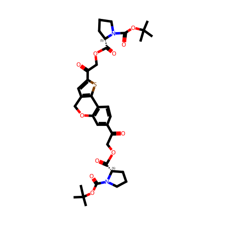 CC(C)(C)OC(=O)N1CCC[C@H]1C(=O)OCC(=O)c1ccc2c(c1)OCc1cc(C(=O)COC(=O)[C@@H]3CCCN3C(=O)OC(C)(C)C)sc1-2